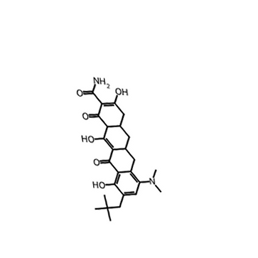 CN(C)c1cc(CC(C)(C)C)c(O)c2c1CC1CC3CC(O)=C(C(N)=O)C(=O)C3C(O)=C1C2=O